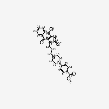 COC(=O)c1ccc(N2CCN(CCCn3c4c(n[n+]3[O-])C(=O)c3ccccc3C4=O)CC2)cc1